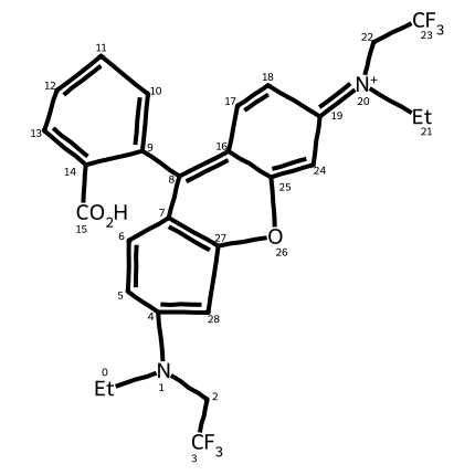 CCN(CC(F)(F)F)c1ccc2c(-c3ccccc3C(=O)O)c3cc/c(=[N+](/CC)CC(F)(F)F)cc-3oc2c1